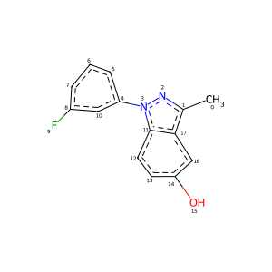 Cc1nn(-c2cccc(F)c2)c2ccc(O)cc12